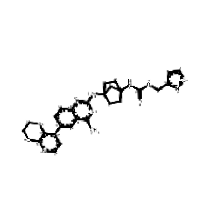 Cc1nc(NC23CCC(NC(=O)OCc4ccon4)(CC2)C3)nc2ccc(-c3ccnc4c3OCCO4)cc12